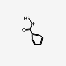 O=C([N]S)c1ccccc1